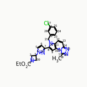 CCOC(=O)N1CC(n2ccc(-c3cc4c(ccc5nnc(C)n54)n3Cc3cccc(Cl)c3)n2)C1